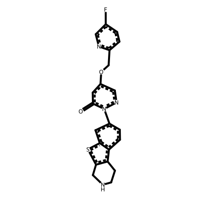 O=c1cc(OCc2ccc(F)cn2)cnn1-c1ccc2c3c(sc2c1)CNCC3